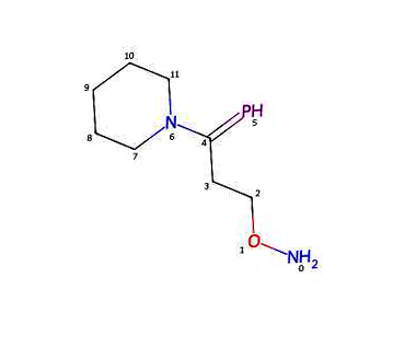 NOCCC(=P)N1CCCCC1